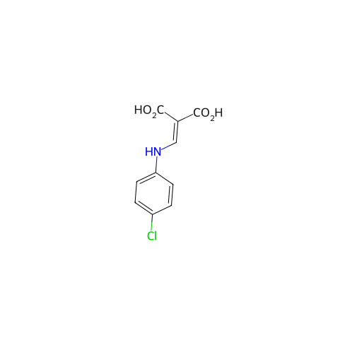 O=C(O)C(=CNc1ccc(Cl)cc1)C(=O)O